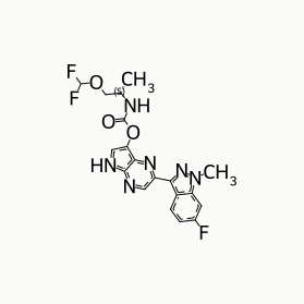 C[C@@H](COC(F)F)NC(=O)Oc1c[nH]c2ncc(-c3nn(C)c4cc(F)ccc34)nc12